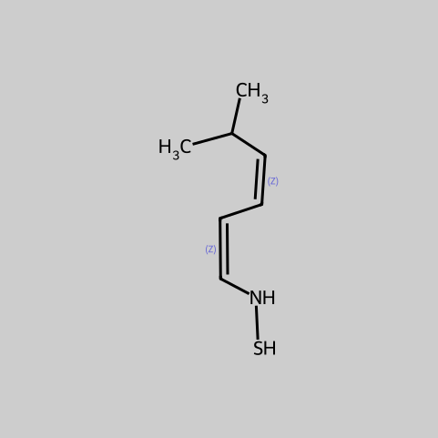 CC(C)/C=C\C=C/NS